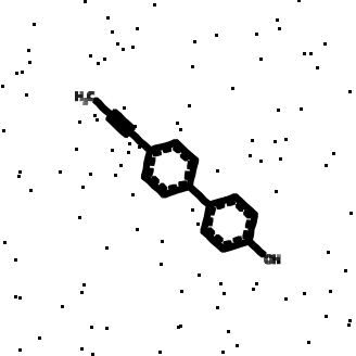 CC#Cc1ccc(-c2ccc(O)cc2)cc1